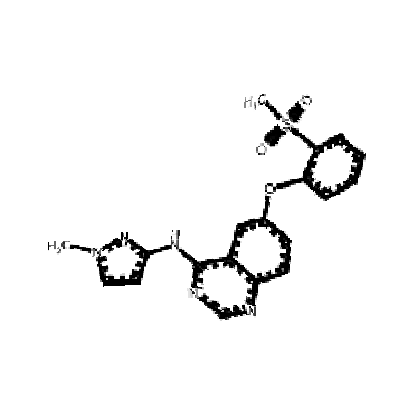 Cn1ccc(Nc2ncnc3ccc(Oc4ccccc4S(C)(=O)=O)cc23)n1